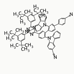 CC(C)(C)c1cc(-c2nc(-c3cc(C(C)(C)C)cc(C(C)(C)C)c3)nc(-c3ccc(-n4c5ccccc5c5cc(C#N)ccc54)c(-c4ccc(-c5ccc(C#N)cc5)cc4-n4c5ccccc5c5cc(C#N)ccc54)c3)n2)cc(C(C)(C)C)c1